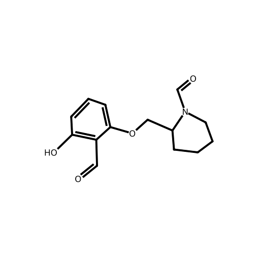 O=Cc1c(O)cccc1OCC1CCCCN1C=O